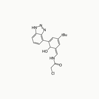 CC(C)(C)C1=CC(=CNC(=O)CCl)C(O)C(c2cccc3[nH]nnc23)=C1